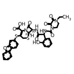 CCN1CCN(C(=O)NC(C(=O)N[C@@H]2C(=O)N3C(C(=O)O)=C(Sc4ccc5c(c4)oc4ccccc45)CS[C@H]23)c2ccccc2O)C(=O)C1=O